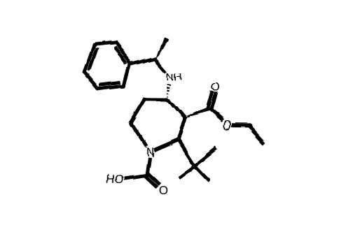 CCOC(=O)[C@H]1C(C(C)(C)C)N(C(=O)O)CC[C@@H]1N[C@H](C)c1ccccc1